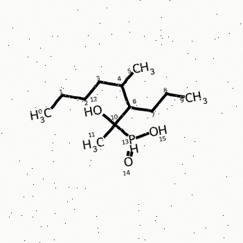 CCCCC(C)C(CCC)C(C)(O)[PH](=O)O